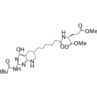 COC(=O)CC[C@H](NC(=O)CCCCCC1CNc2nc(NC(=O)C(C)(C)C)nc(O)c2C1)C(=O)OC